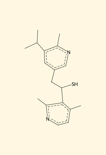 Cc1ccnc(C)c1C(S)Cc1cnc(C)c(C(C)C)c1